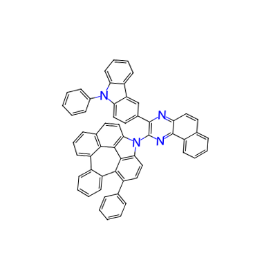 c1ccc(-c2ccc3c4c2-c2ccccc2-c2cccc5ccc(c4c25)n3-c2nc3c(ccc4ccccc43)nc2-c2ccc3c(c2)c2ccccc2n3-c2ccccc2)cc1